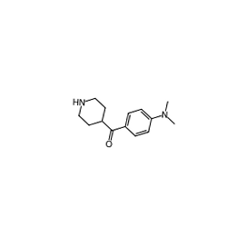 CN(C)c1ccc(C(=O)C2CCNCC2)cc1